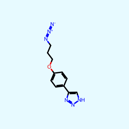 [N-]=[N+]=NCCCOc1ccc(-c2c[nH]nn2)cc1